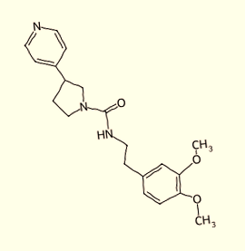 COc1ccc(CCNC(=O)N2CCC(c3ccncc3)C2)cc1OC